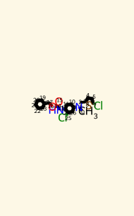 CN(Cc1ccc(Cl)s1)c1ccc(NC(=O)OCc2ccccc2)c(Cl)c1